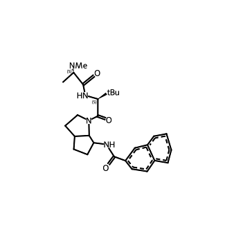 CN[C@@H](C)C(=O)N[C@H](C(=O)N1CCC2CCC(NC(=O)c3ccc4ccccc4c3)C21)C(C)(C)C